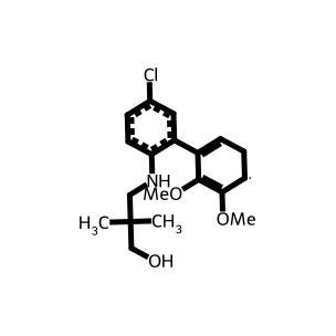 COC1=C(OC)C(c2cc(Cl)ccc2NCC(C)(C)CO)=CC[CH]1